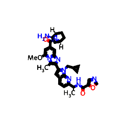 COc1cc(C(=O)N2[C@H]3CC[C@@H]2[C@H](N)C3)cc2nc(-c3cc4ccc([C@@H](C)NC(=O)c5cnco5)nc4n3CC3CC3)c(C)n12